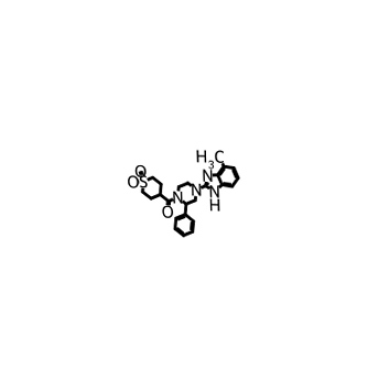 Cc1cccc2[nH]c(N3CCN(C(=O)C4CCS(=O)(=O)CC4)C(c4ccccc4)C3)nc12